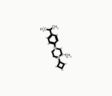 CC(C)c1ccc(N2CCN(C3CCC3)[C@@H](C)C2)cc1